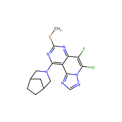 CSc1nc(N2CC3CCC(C3)C2)c2c(n1)c(F)c(Cl)n1ncnc21